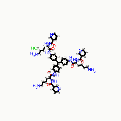 Cl.NCCCC[C@H](NC(=O)c1cccnc1)C(=O)Nc1ccc(C(c2ccc(NC(=O)[C@H](CCCCN)NC(=O)c3cccnc3)cc2)c2ccc(NC(=O)[C@H](CCCCN)NC(=O)c3cccnc3)cc2)cc1